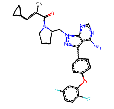 N#CC(=CC1CC1)C(=O)N1CCCC1Cn1nc(-c2ccc(Oc3cc(F)ccc3F)cc2)c2c(N)ncnc21